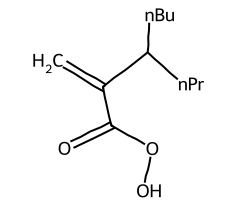 C=C(C(=O)OO)C(CCC)CCCC